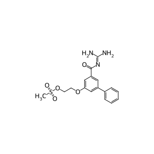 CS(=O)(=O)OCCOc1cc(C(=O)N=C(N)N)cc(-c2ccccc2)c1